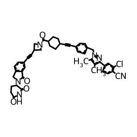 Cc1c(-c2ccc(C#N)c(Cl)c2)nn(Cc2ccc(C#CC3CCC(C(=O)N4CC(C#Cc5ccc6c(c5)C(=O)N(C5CCC(=O)NC5=O)C6)C4)CC3)cc2)c1C